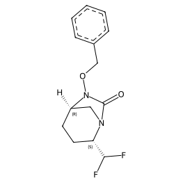 O=C1N2C[C@@H](CC[C@H]2C(F)F)N1OCc1ccccc1